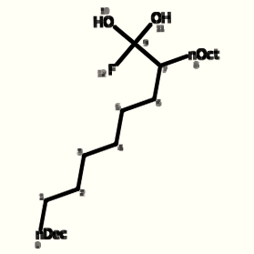 CCCCCCCCCCCCCCCCC(CCCCCCCC)C(O)(O)F